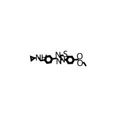 CCOC(=O)c1ccc2c(c1)sc1nc(-c3ccc(CNC4CC4)cc3)nn12